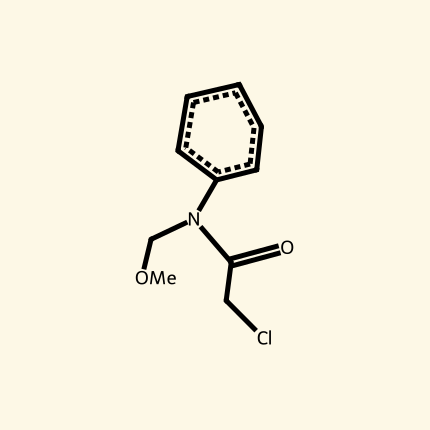 COCN(C(=O)CCl)c1ccccc1